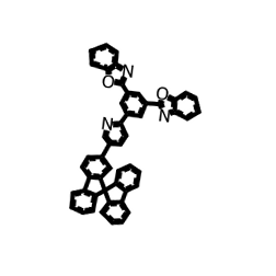 c1ccc2c(c1)-c1ccccc1C21c2ccccc2-c2ccc(-c3ccc(-c4cc(-c5nc6ccccc6o5)cc(-c5nc6ccccc6o5)c4)nc3)cc21